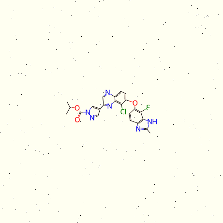 Cc1nc2ccc(Oc3ccc4ncc(-c5cnn(C(=O)OC(C)C)c5)nc4c3Cl)c(F)c2[nH]1